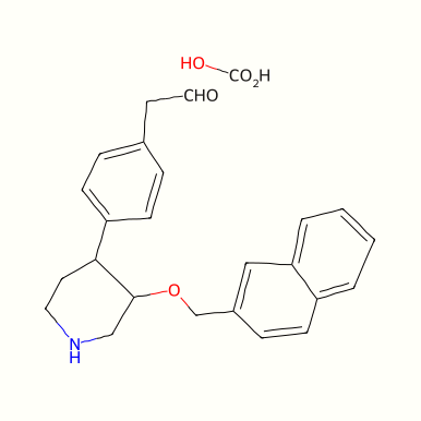 O=C(O)O.O=CCc1ccc(C2CCNCC2OCc2ccc3ccccc3c2)cc1